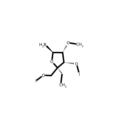 B[C@@H]1O[C@](CC)(COI)[C@@H](OI)[C@H]1OC